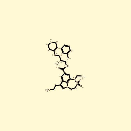 CCCc1cn2c3c(cc(C(=O)N[C@@H](Cc4ccccc4)[C@H](O)CNC4CCOCC4)cc13)N(CC)S(=O)(=O)CC2